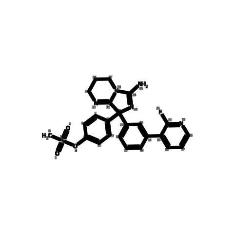 CS(=O)(=O)Oc1ccc(C2(c3cccc(-c4cccnc4F)c3)N=C(N)N3CCCN=C32)cc1